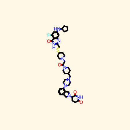 O=C1CCC(N2Cc3cccc(N4CCN(CC5CCN(C(=O)CN6CCC(SCc7nc8cc(NC9CCCC9)cc(F)c8c(=O)[nH]7)CC6)CC5)CC4)c3C2)C(=O)N1